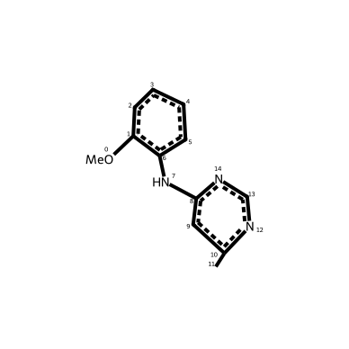 COc1ccccc1Nc1cc(C)ncn1